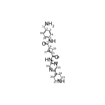 NCc1ccc(NC(=O)C23CC(C(=O)Nc4cnc(C5=CCNCC5)cn4)(C2)C3)cc1